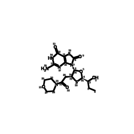 CCC(O)[C@H]1O[C@@H](n2c(=O)sc3c(=O)[nH]c(N)nc32)[C@H](CC(=O)N2CCOCC2)S1